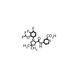 CC1(C)CC(C(=O)Nc2ccnc(C(=O)O)c2)N(c2ccc(F)c(F)c2OC(F)F)C1